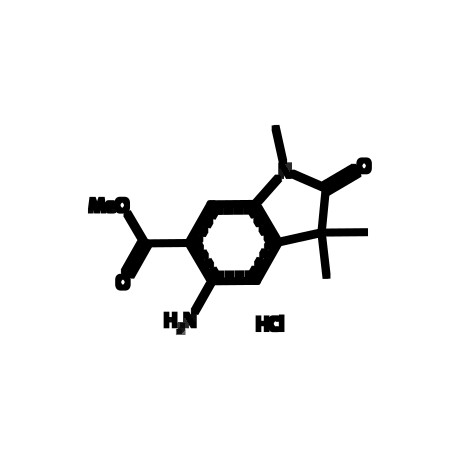 COC(=O)c1cc2c(cc1N)C(C)(C)C(=O)N2C.Cl